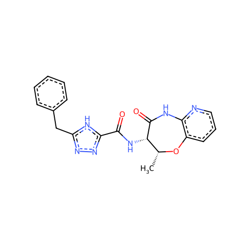 C[C@H]1Oc2cccnc2NC(=O)[C@H]1NC(=O)c1nnc(Cc2ccccc2)[nH]1